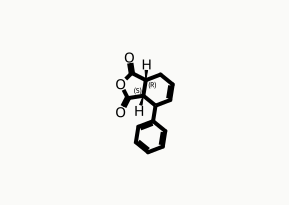 O=C1OC(=O)[C@H]2C(c3ccccc3)C=CC[C@@H]12